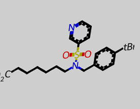 CC(C)(C)c1ccc(CN(CCCCCCC(=O)O)S(=O)(=O)c2cccnc2)cc1